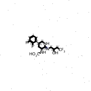 O=C(O)N[C@H]1C[C@@H](c2cccc(F)c2F)CN/C1=N\CC(O)CC(F)(F)F